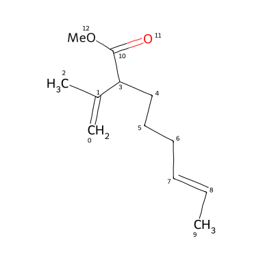 C=C(C)C(CCCC=CC)C(=O)OC